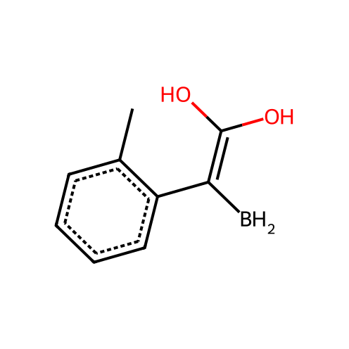 BC(=C(O)O)c1ccccc1C